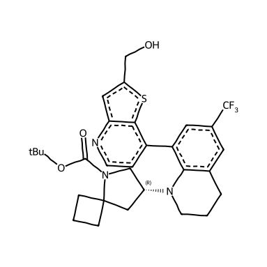 CC(C)(C)OC(=O)N1C[C@H](N2CCCc3cc(C(F)(F)F)cc(-c4ccnc5cc(CO)sc45)c32)CC12CCC2